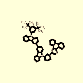 CC(C)(C)c1cc(-n2c3ccccc3c3cc(-c4ccc5c(c4)c4ccccc4n5-c4cccc(-c5cnc6c7ccccc7c7ccccc7c6n5)c4)ccc32)cc(C(C)(C)C)c1